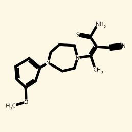 COc1cccc(N2CCCN(C(C)=C(C#N)C(N)=S)CC2)c1